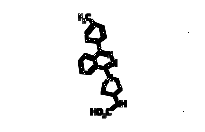 O=C(O)NC1CCN(c2nnc(-c3ccc(C(F)(F)F)cc3)c3ccccc23)CC1